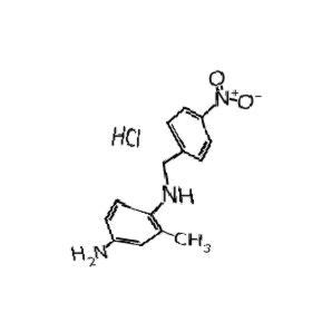 Cc1cc(N)ccc1NCc1ccc([N+](=O)[O-])cc1.Cl